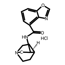 Cl.O=C(N[C@@H]1CN2CCC1CC2)c1cccc2ocnc12